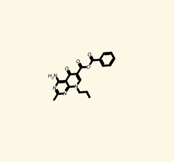 CCCn1cc(C(=O)OC(=O)c2ccccc2)c(=O)c2c(N)nc(C)nc21